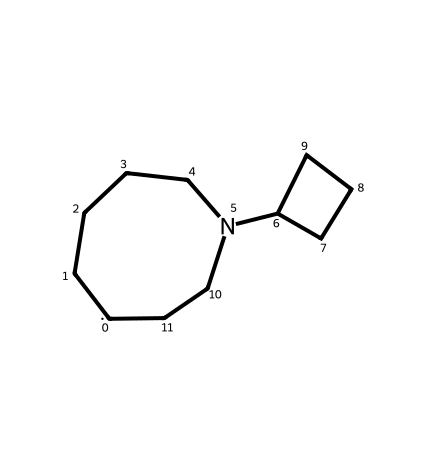 [CH]1CCCCN(C2CCC2)CC1